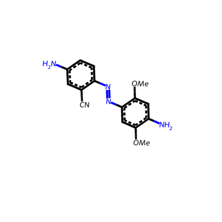 COc1cc(N=Nc2ccc(N)cc2C#N)c(OC)cc1N